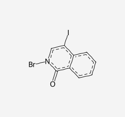 O=c1c2ccccc2c(I)cn1Br